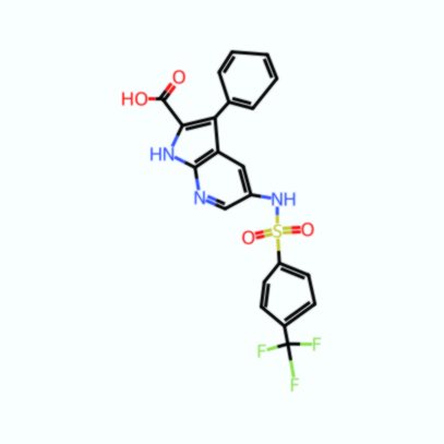 O=C(O)c1[nH]c2ncc(NS(=O)(=O)c3ccc(C(F)(F)F)cc3)cc2c1-c1ccccc1